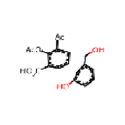 CC(=O)Oc1c(C(C)=O)cccc1C(=O)O.OCc1cccc(O)c1